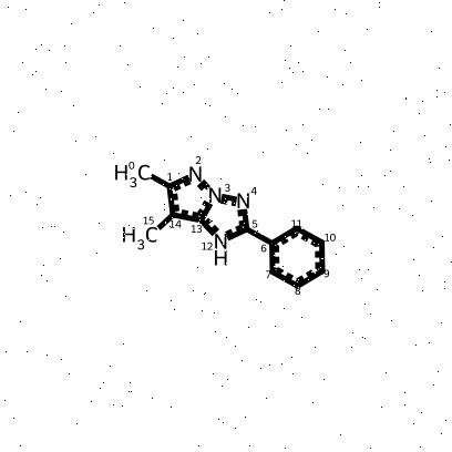 Cc1nn2nc(-c3ccccc3)[nH]c2c1C